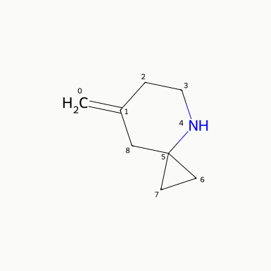 C=C1CCNC2(CC2)C1